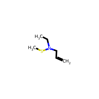 C=CCN(CC)SC